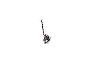 CCCCCCCCCCCCCCCCCCCCCC(=O)OCC(C)[C@@H](C)CC[C@@H](C)[C@H]1CC[C@H]2[C@@H]3CCC4CCCC[C@]4(C)[C@H]3CC[C@]12C